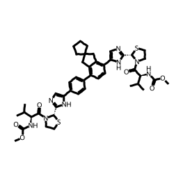 COC(=O)N[C@H](C(=O)N1CCS[C@H]1c1ncc(-c2ccc(-c3ccc(-c4cnc([C@@H]5SCCN5C(=O)[C@@H](NC(=O)OC)C(C)C)[nH]4)c4c3CC3(CCCC3)C4)cc2)[nH]1)C(C)C